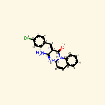 N=C(N)/C(=C\c1ccc(Br)cc1)C(=O)N1CC=Cc2ccccc21